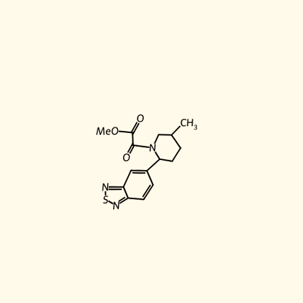 COC(=O)C(=O)N1CC(C)CCC1c1ccc2nsnc2c1